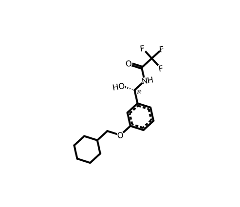 O=C(N[C@@H](O)c1cccc(OCC2CCCCC2)c1)C(F)(F)F